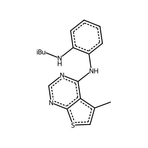 CCC(C)Nc1ccccc1Nc1ncnc2scc(C)c12